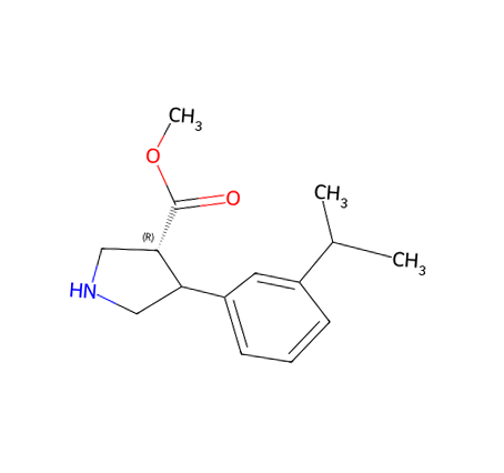 COC(=O)[C@H]1CNCC1c1cccc(C(C)C)c1